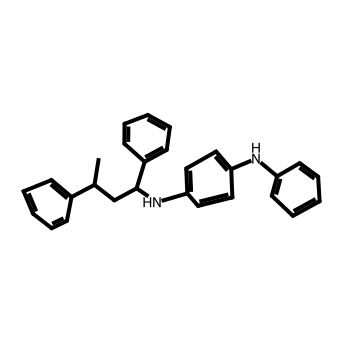 CC(CC(Nc1ccc(Nc2ccccc2)cc1)c1ccccc1)c1ccccc1